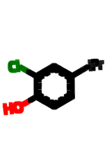 CC(C)c1ccc(O)c(Cl)c1